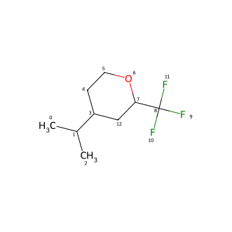 CC(C)C1CCOC(C(F)(F)F)C1